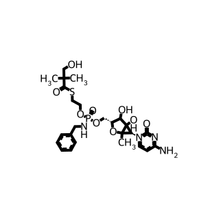 CC(C)(CO)C(=O)SCCOP(=O)(NCc1ccccc1)OC[C@H]1OC2(C)[C@@H](n3ccc(N)nc3=O)C2(O)C1O